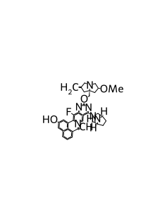 C#Cc1cccc2cc(O)cc(-c3ncc4c(N5C[C@H]6CC[C@@H](C5)N6)nc(OC[C@@]56CC(=C)CN5C[C@@H](OC)C6)nc4c3F)c12